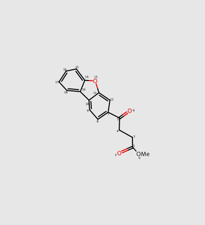 COC(=O)CCC(=O)c1ccc2c(c1)oc1ccccc12